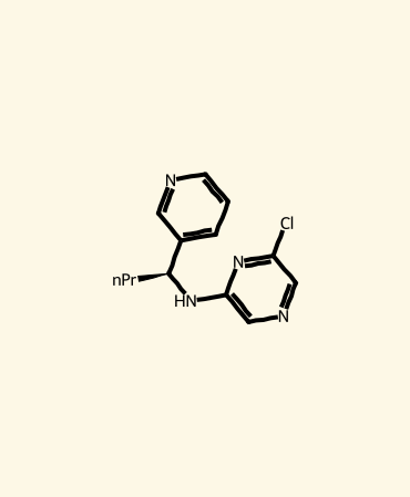 CCC[C@H](Nc1cncc(Cl)n1)c1cccnc1